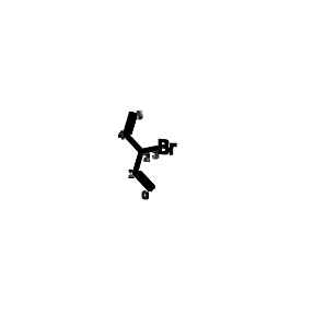 C=CC(Br)C=C